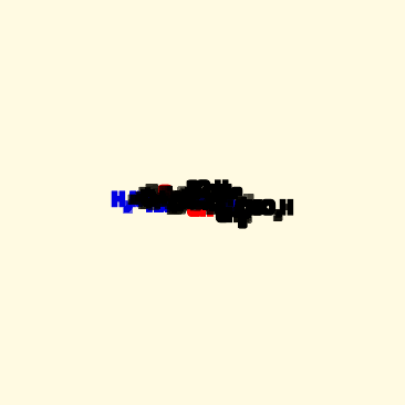 COc1cc(N=Nc2ccc(S(=O)(=O)O)cc2)c(C)cc1/N=N/c1c(S(=O)(=O)O)cc2cc(NC(=O)c3ccc(N)cc3)ccc2c1O